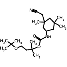 CC1(C)CC(NC(=O)OC(C)(C)CCOC(C)(C)C)CC(C)(CC#N)C1